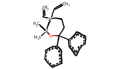 C=C[Si]1(C=C)CCC(c2ccccc2)(c2ccccc2)O[Si]1(C)C